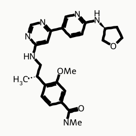 CNC(=O)c1ccc([C@H](C)CNc2cc(-c3ccc(N[C@H]4CCOC4)nc3)ncn2)c(OC)c1